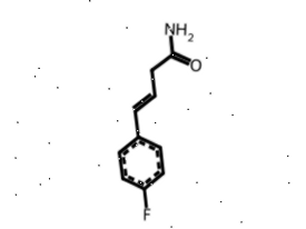 NC(=O)CC=Cc1ccc(F)cc1